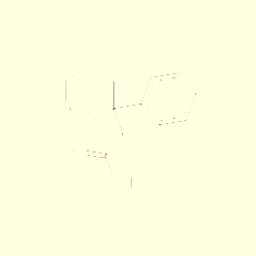 O=C(O)CC1(c2ccccc2)CCCOC1